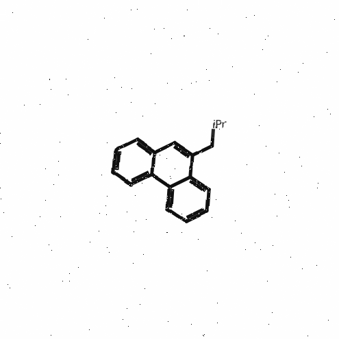 CC(C)Cc1cc2ccccc2c2ccccc12